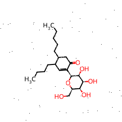 CCCCCC1CC(=O)C([C@@H]2O[C@H](CO)[C@H](O)[C@H](O)[C@@H]2O)=CC1CCCC